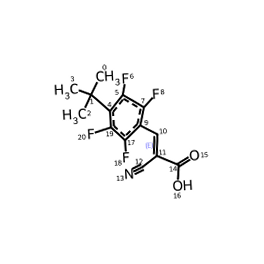 CC(C)(C)c1c(F)c(F)c(/C=C(\C#N)C(=O)O)c(F)c1F